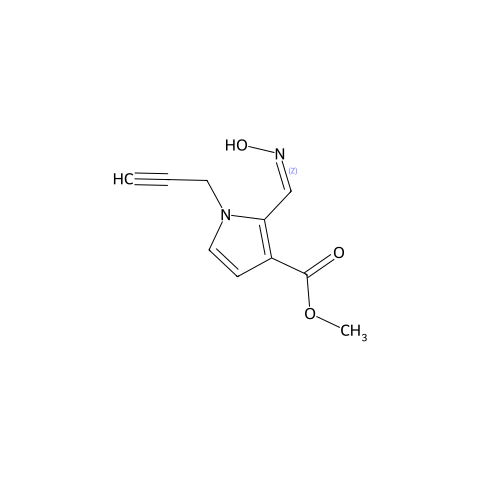 C#CCn1ccc(C(=O)OC)c1/C=N\O